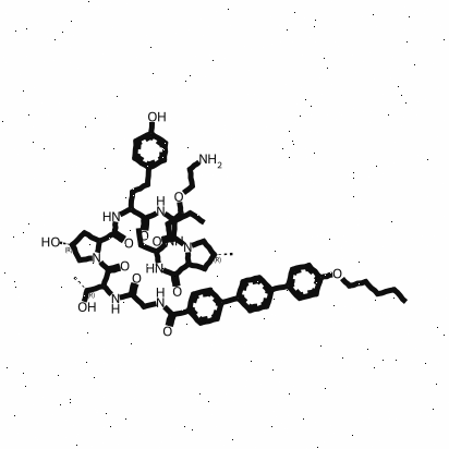 CCCCCOc1ccc(-c2ccc(-c3ccc(C(=O)NCC(=O)NC(C(=O)N4C[C@H](O)CC4C(=O)NC(CCc4ccc(O)cc4)C(=O)NC(CC)C(=O)N4C[C@H](C)CC4C(=O)NC(CC)NCCOCCN)[C@@H](C)O)cc3)cc2)cc1